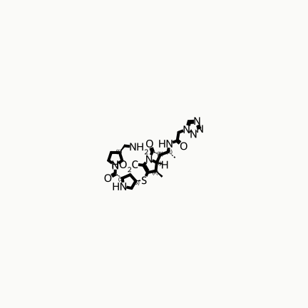 C[C@@H](NC(=O)Cn1cnnn1)[C@H]1C(=O)N2C(C(=O)O)=C(S[C@@H]3CN[C@H](C(=O)N4CC[C@@H](CN)C4)C3)[C@H](C)[C@@H]12